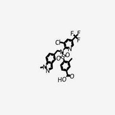 Cc1cc(C(=O)O)ccc1S(=O)(=O)N(Cc1ccc2c(cnn2C)c1)c1ncc(C(F)(F)F)cc1Cl